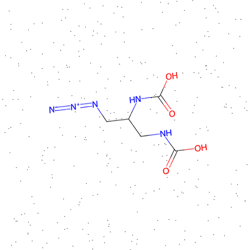 [N-]=[N+]=NCC(CNC(=O)O)NC(=O)O